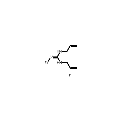 C=CCNC(NCC=C)=[S+]CC.[I-]